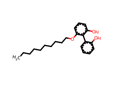 CCCCCCCCCCOc1cccc(O)c1-c1ccccc1O